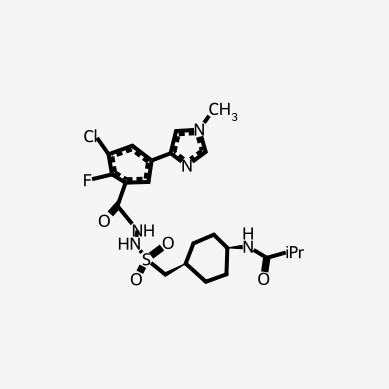 CC(C)C(=O)N[C@H]1CC[C@@H](CS(=O)(=O)NNC(=O)c2cc(-c3cn(C)cn3)cc(Cl)c2F)CC1